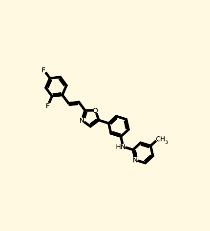 Cc1ccnc(Nc2cccc(-c3cnc(/C=C/c4ccc(F)cc4F)o3)c2)c1